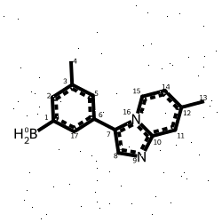 Bc1cc(C)cc(-c2cnc3cc(C)ccn23)c1